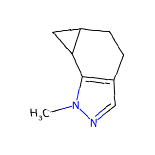 Cn1ncc2c1C1CC1CC2